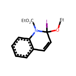 CCOC(=O)N1c2ccccc2C=CC1(I)OCC